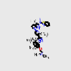 Cc1c(Nc2nc3ccccc3s2)nnc2c1CCCN2c1ccc(-c2cnn(C[C@]34C[C@]5(C)C[C@](C)(C3)C[C@@](OCCN(C)C)(C5)C4)c2C)c(C(=O)O)n1